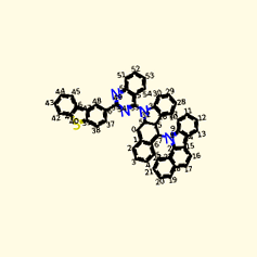 C1=c2ccccc2=C(n2c3ccccc3c3ccc4ccccc4c32)C2c3ccccc3N(c3nc(-c4ccc5sc6ccccc6c5c4)nc4ccccc34)C12